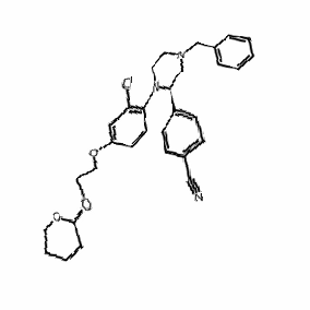 N#Cc1ccc([C@@H]2CN(Cc3ccccc3)CCN2c2ccc(OCCOC3CCCCO3)cc2Cl)cc1